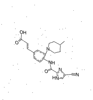 CC1CCN(c2cc(C=CC(=O)O)ccc2NC(=O)c2nc(C#N)c[nH]2)CC1